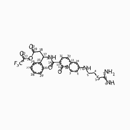 N=C(N)SCCNc1ccn2c(=O)c(C(=O)NC(CC(=O)OC(=O)C(F)(F)F)c3ccccc3)ccc2c1